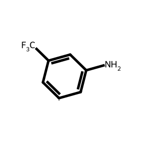 Nc1c[c]cc(C(F)(F)F)c1